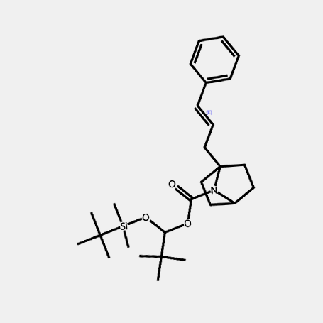 CC(C)(C)C(OC(=O)N1C2CCC1(C/C=C/c1ccccc1)CC2)O[Si](C)(C)C(C)(C)C